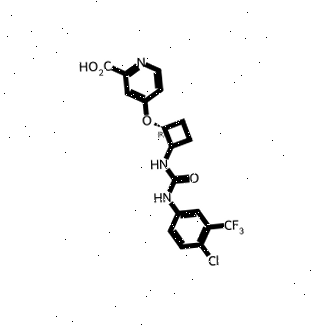 O=C(Nc1ccc(Cl)c(C(F)(F)F)c1)NC1CC[C@H]1Oc1ccnc(C(=O)O)c1